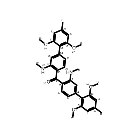 CNc1cc(-c2c(OC)cc(C)cc2OC)ccc1C(=O)c1ccc(-c2c(OC)cc(C)cc2OC)cc1NC